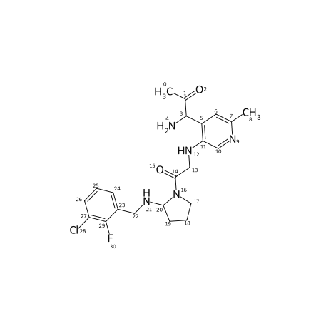 CC(=O)C(N)c1cc(C)ncc1NCC(=O)N1CCCC1NCc1cccc(Cl)c1F